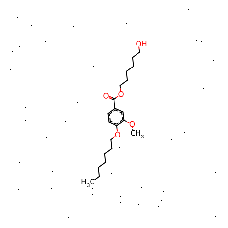 CCCCCCCOc1ccc(C(=O)OCCCCCCO)cc1OC